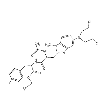 CCOC(=O)[C@H](Cc1ccc(F)cc1)NC(=O)[C@H](Cc1nc2cc(N(CCCl)CCCl)ccc2n1C)NC(C)=O